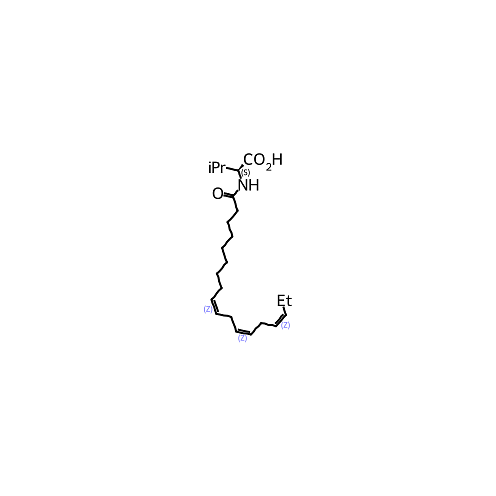 CC/C=C\C/C=C\C/C=C\CCCCCCCC(=O)N[C@H](C(=O)O)C(C)C